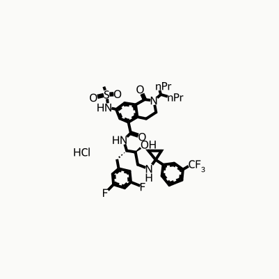 CCCC(CCC)N1CCc2c(C(=O)N[C@@H](Cc3cc(F)cc(F)c3)[C@@H](O)CNC3(c4cccc(C(F)(F)F)c4)CC3)cc(NS(C)(=O)=O)cc2C1=O.Cl